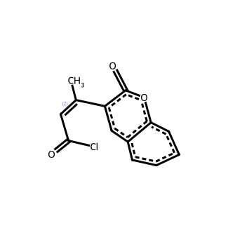 C/C(=C/C(=O)Cl)c1cc2ccccc2oc1=O